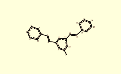 Cc1cc(/C=C/c2ccccc2)cc(/C=C/c2ccccc2)c1